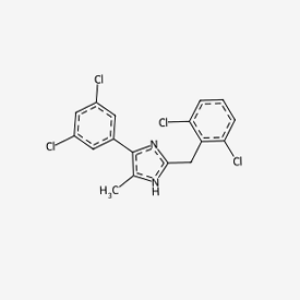 Cc1[nH]c(Cc2c(Cl)cccc2Cl)nc1-c1cc(Cl)cc(Cl)c1